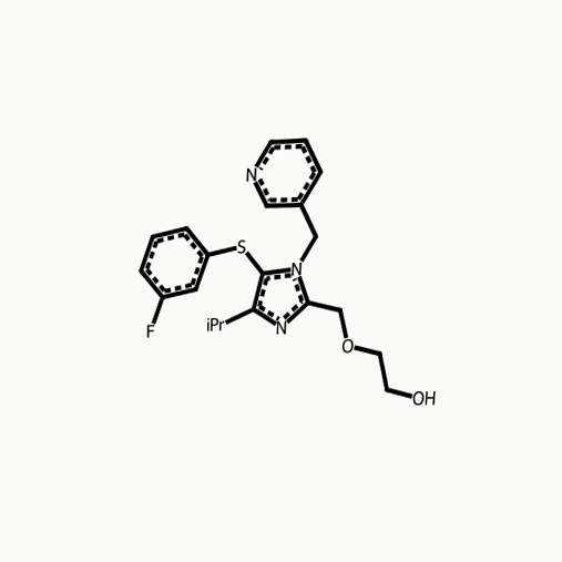 CC(C)c1nc(COCCO)n(Cc2cccnc2)c1Sc1cccc(F)c1